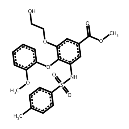 COC(=O)c1cc(NS(=O)(=O)c2ccc(C)cc2)c(Oc2ccccc2OC)c(OCCO)c1